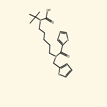 CC(C)(C)N(CCCCCN(Cc1cccs1)C(=O)c1cccs1)C(=O)O